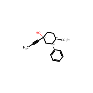 CC#C[C@@]1(O)CC[C@@H](C(=O)OCC)[C@H](c2ccccc2)C1